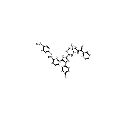 COc1ccc(CNc2nccc(-c3[nH]c(C4OCC(C)(CNC(=O)c5ccccc5)CO4)nc3-c3ccc(F)cc3)n2)cc1